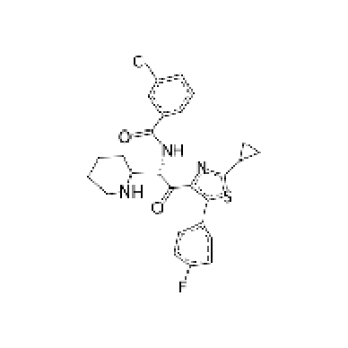 O=C(N[C@H](C(=O)c1nc(C2CC2)sc1-c1ccc(F)cc1)C1CCCCN1)c1cccc(Cl)c1